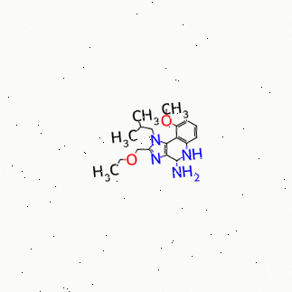 CCOCc1nc2c(n1CC(C)C)-c1c(cccc1OC)NC2N